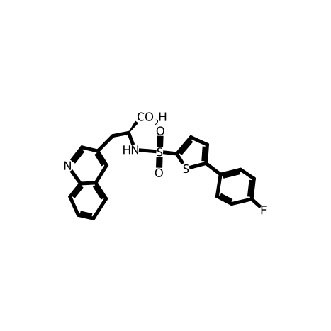 O=C(O)[C@H](Cc1cnc2ccccc2c1)NS(=O)(=O)c1ccc(-c2ccc(F)cc2)s1